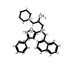 CC(CN1CCCCC1)CN(Cc1cccc2ccccc12)c1cc(-c2ccccc2)no1